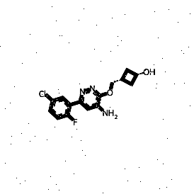 Nc1cc(-c2cc(Cl)ccc2F)nnc1OC[C@H]1C[C@@H](O)C1